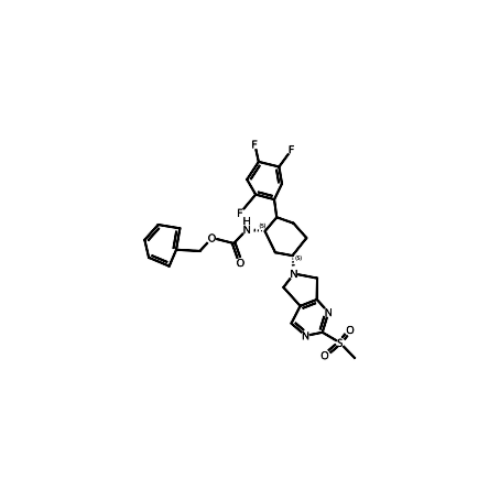 CS(=O)(=O)c1ncc2c(n1)CN([C@H]1CCC(c3cc(F)c(F)cc3F)[C@@H](NC(=O)OCc3ccccc3)C1)C2